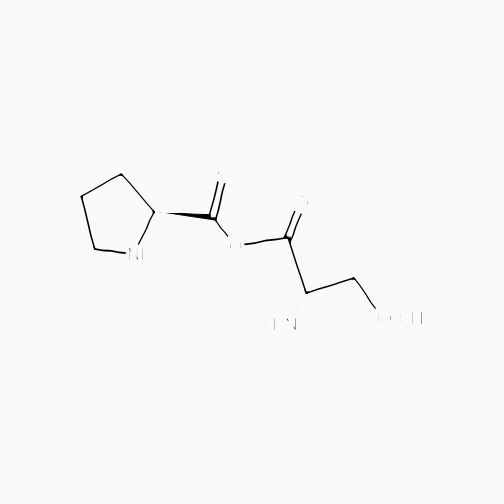 N[C@@H](CC(=O)O)C(=O)OC(=O)[C@@H]1CCCN1